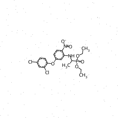 CCOP(=O)(OCC)C(C)Nc1cc(Oc2ccc(Cl)cc2Cl)ccc1[N+](=O)[O-]